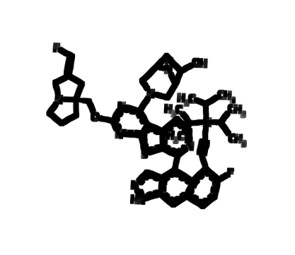 CC(C)[Si](C#Cc1c(F)ccc2cc3[nH]ncc3c(-c3nccc4c3sc3nc(OC[C@@]56CCCN5C/C(=C\F)C6)nc(N5CC6CC(O)C(C5)N6)c34)c12)(C(C)C)C(C)C